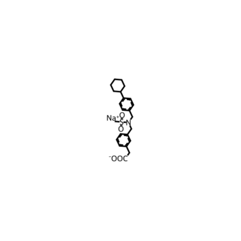 CS(=O)(=O)N(Cc1ccc(C2CCCCC2)cc1)Cc1cccc(CC(=O)[O-])c1.[Na+]